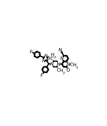 C[C@@H]1CN(c2cc(=O)n(C)c3ccc(C#N)nc23)[C@@H](C)CN1C(c1ccc(F)cc1)c1nc(-c2ccc(F)cc2)no1